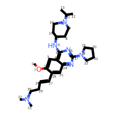 COc1cc2c(NC3CCN(C(C)C)CC3)nc(N3CCCC3)nc2cc1/C=C/CCN(C)C